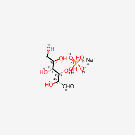 O=C[C@H](O)[C@@H](O)[C@H](O)[C@H](O)CO.O=P([O-])(O)O.[Na+]